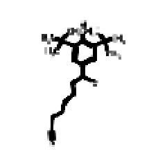 CC(C)(C)c1cc(C([S])CCCCCC#N)cc(C(C)(C)C)c1O